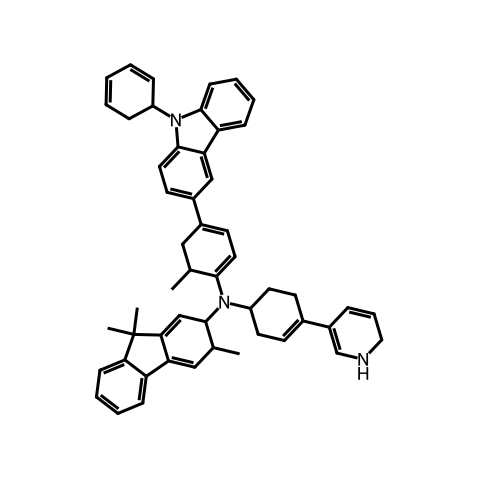 CC1CC(c2ccc3c(c2)c2ccccc2n3C2C=CC=CC2)=CC=C1N(C1CC=C(C2=CNCC=C2)CC1)C1C=C2C(=CC1C)c1ccccc1C2(C)C